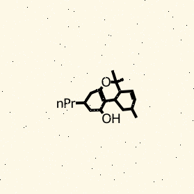 CCCC1CC2=C(C(O)C1)C1CC(C)C=CC1C(C)(C)O2